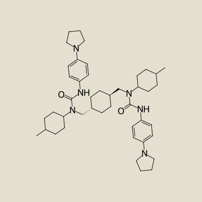 CC1CCC(N(C[C@H]2CC[C@H](CN(C(=O)Nc3ccc(N4CCCC4)cc3)C3CCC(C)CC3)CC2)C(=O)Nc2ccc(N3CCCC3)cc2)CC1